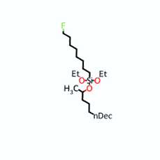 CCCCCCCCCCCCCC(C)O[Si](CCCCCCCCF)(OCC)OCC